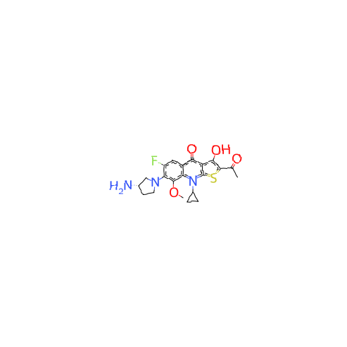 COc1c(N2CC[C@H](N)C2)c(F)cc2c(=O)c3c(O)c(C(C)=O)sc3n(C3CC3)c12